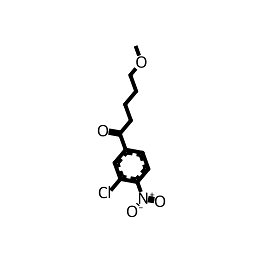 COCCCCC(=O)c1ccc([N+](=O)[O-])c(Cl)c1